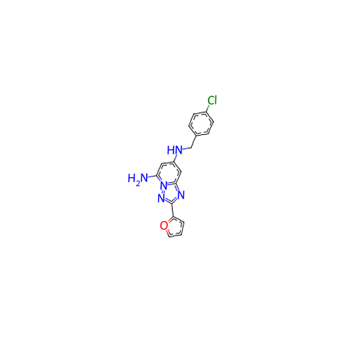 Nc1cc(NCc2ccc(Cl)cc2)cc2nc(-c3ccco3)nn12